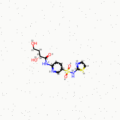 O=C(Nc1ccc(S(=O)(=O)Nc2nccs2)cn1)[C@H](O)CCO